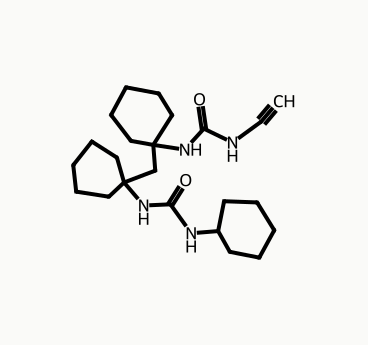 C#CNC(=O)NC1(CC2(NC(=O)NC3CCCCC3)CCCCC2)CCCCC1